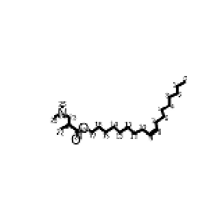 CCCCCCCC/C=C\CCCCCCCCOC(=O)C(C)CN(C)C